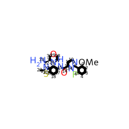 COc1cccc(F)c1-c1nccc(C(=O)Nc2ccc3sc(C)nc3c2N2CCOC[C@@H]2CN)n1